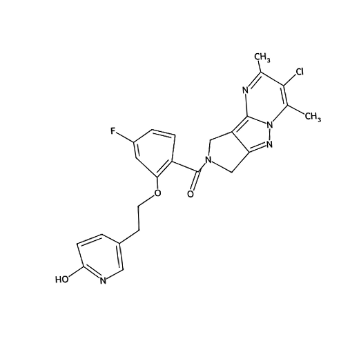 Cc1nc2c3c(nn2c(C)c1Cl)CN(C(=O)c1ccc(F)cc1OCCc1ccc(O)nc1)C3